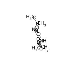 COCCCN(C)c1ccc2c(c1)ncn2-c1ccc(CC(=O)Nc2cc(C(C)(C)C)no2)cc1